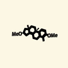 COc1ccc2c(c1C)CCC1=C3C[C@H](OC)C[C@]3(C)CC[C@]12C